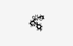 O=C(NCc1ccco1)c1cccnc1Oc1ccc(F)cc1